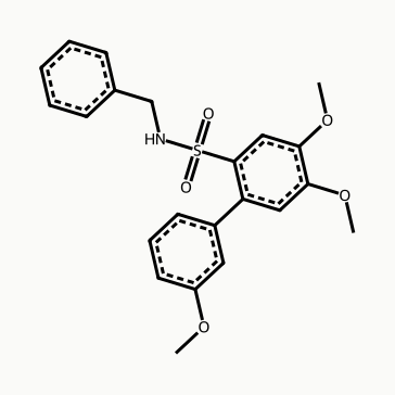 COc1cccc(-c2cc(OC)c(OC)cc2S(=O)(=O)NCc2ccccc2)c1